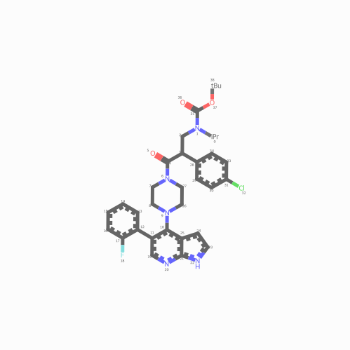 CC(C)N(CC(C(=O)N1CCN(c2c(-c3ccccc3F)cnc3[nH]ccc23)CC1)c1ccc(Cl)cc1)C(=O)OC(C)(C)C